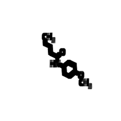 C=CC=CC(=O)Nc1ccc(OC)cc1